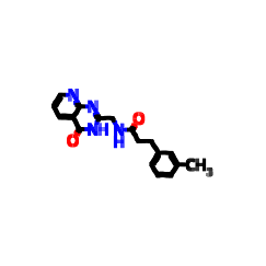 Cc1cccc(CCC(=O)NCc2nc3ncccc3c(=O)[nH]2)c1